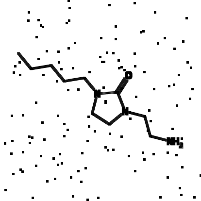 CCCCCN1CCN(CCN)C1=O